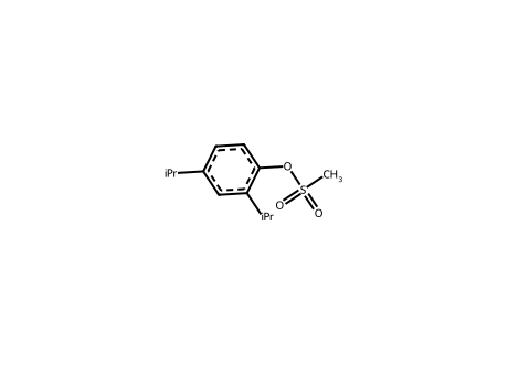 CC(C)c1ccc(OS(C)(=O)=O)c(C(C)C)c1